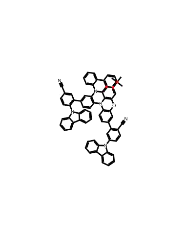 CC(C)(C)c1cc2c3c(c1)N(c1ccccc1-c1ccccc1)c1cc(-c4cc(C#N)ccc4-n4c5ccccc5c5ccccc54)ccc1B3c1ccc(-c3cc(-n4c5ccccc5c5ccccc54)ccc3C#N)cc1O2